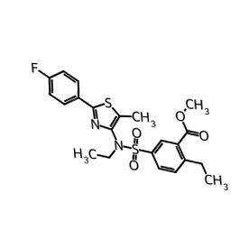 CCc1ccc(S(=O)(=O)N(CC)c2nc(-c3ccc(F)cc3)sc2C)cc1C(=O)OC